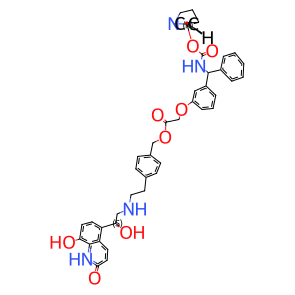 O=C(COc1cccc(C(NC(=O)O[C@H]2CN3CCC2CC3)c2ccccc2)c1)OCc1ccc(CCNC[C@@H](O)c2ccc(O)c3[nH]c(=O)ccc23)cc1